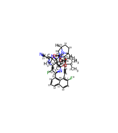 CC(C)[Si](C#Cc1c(F)ccc2cccc(-c3nc4c5c(nc(C#N)nc5c3F)N3C[C@@H]5CC[C@H]([C@H]3CO4)N5C(=O)OC(C)(C)C)c12)(C(C)C)C(C)C